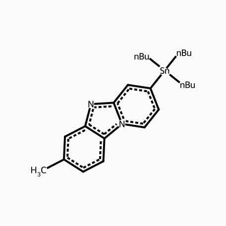 CCC[CH2][Sn]([CH2]CCC)([CH2]CCC)[c]1ccn2c(c1)nc1cc(C)ccc12